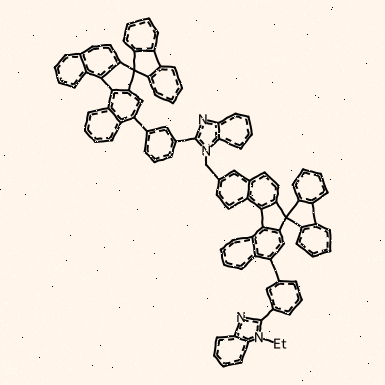 CCn1c(-c2cccc(-c3cc4c(c5ccccc35)-c3c(ccc5cc(Cn6c(-c7cccc(-c8cc9c(c%10ccccc8%10)-c8c(ccc%10ccccc8%10)C98c9ccccc9-c9ccccc98)c7)nc7ccccc76)ccc35)C43c4ccccc4-c4ccccc43)c2)nc2ccccc21